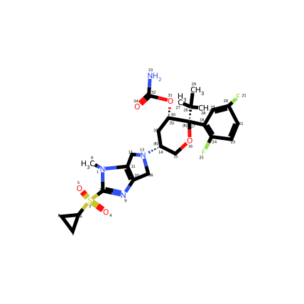 Cn1c(S(=O)(=O)C2CC2)nc2c1CN([C@H]1CO[C@@](c3cc(F)ccc3F)(C(C)(C)C)[C@@H](OC(N)=O)C1)C2